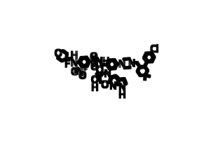 CC1(C)CCC(CN2CCN(c3ccc(C(=O)NS(=O)(=O)c4ccc(NCC5(F)CCOCC5)c([N+](=O)[O-])c4)c(N4CC(C)(O)COc5nc6[nH]ccc6cc54)c3)CC2)=C(c2ccc(Cl)cc2)C1